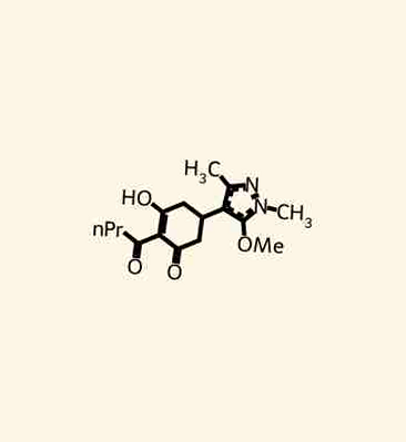 CCCC(=O)C1=C(O)CC(c2c(C)nn(C)c2OC)CC1=O